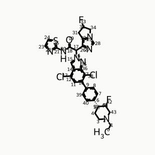 CCN1CC[C@H](c2ccc(-c3cc(Cl)c4cn(C(C(=O)Nc5nccs5)c5ncn6c5CC(F)C6)nc4c3Cl)cc2)[C@@H](F)C1